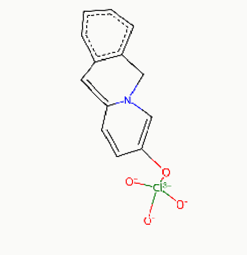 [O-][Cl+3]([O-])([O-])OC1=CN2Cc3ccccc3C=C2C=C1